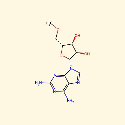 COC[C@H]1O[C@@H](n2cnc3c(N)nc(N)nc32)[C@H](O)[C@@H]1O